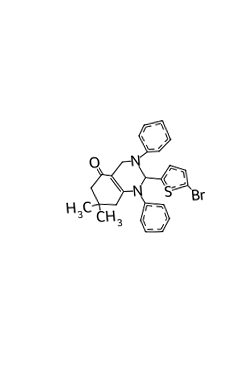 CC1(C)CC(=O)C2=C(C1)N(c1ccccc1)C(c1ccc(Br)s1)N(c1ccccc1)C2